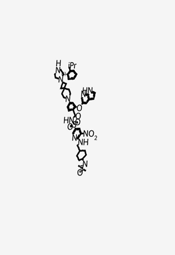 CC(C)c1ccccc1[C@H]1CNCCN1C1CC2(CCN(c3ccc(C(=O)NS(=O)(=O)c4cnc(NCC5CCC(N=S(C)(C)=O)CC5)c([N+](=O)[O-])c4)c(Oc4cnc5[nH]ccc5c4)c3)CC2)C1